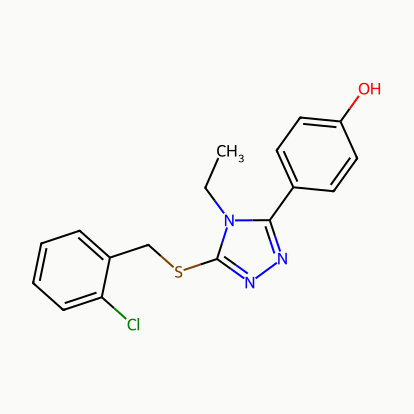 CCn1c(SCc2ccccc2Cl)nnc1-c1ccc(O)cc1